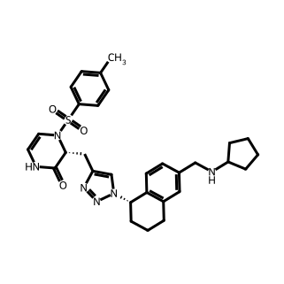 Cc1ccc(S(=O)(=O)N2C=CNC(=O)[C@H]2Cc2cn([C@H]3CCCc4cc(CNC5CCCC5)ccc43)nn2)cc1